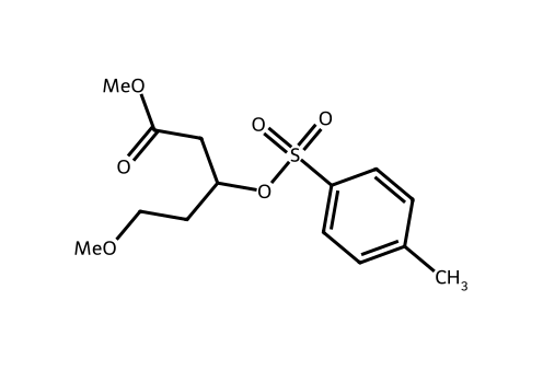 COCCC(CC(=O)OC)OS(=O)(=O)c1ccc(C)cc1